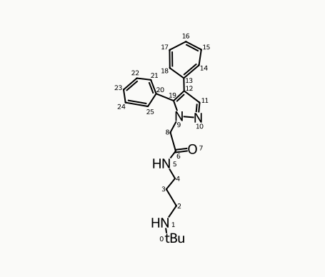 CC(C)(C)NCCCNC(=O)Cn1ncc(-c2ccccc2)c1-c1ccccc1